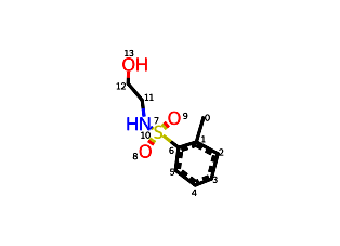 Cc1ccccc1S(=O)(=O)NCCO